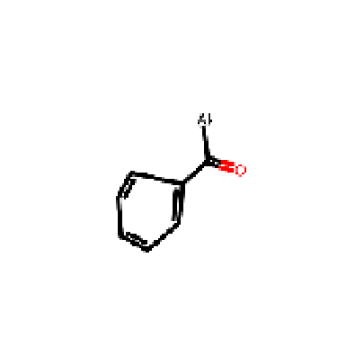 O=[C]([Al])c1ccccc1